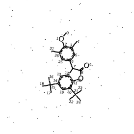 COc1c(C)cc(C2C(=O)Oc3c2cc(C(C)(C)C)cc3C(C)(C)C)cc1C